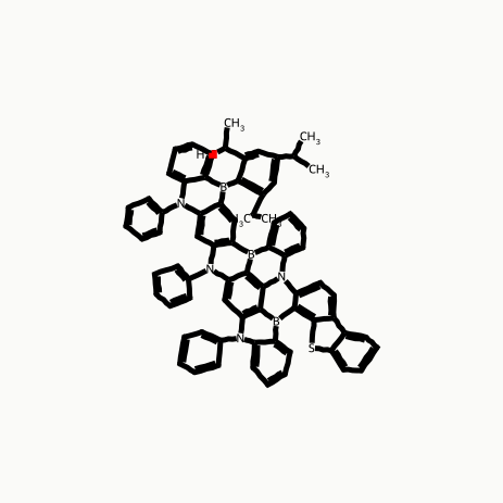 CC(C)c1cc(C(C)C)c(B2c3ccccc3N(c3ccccc3)c3cc4c(cc32)B2c3ccccc3N3c5ccc6c(sc7ccccc76)c5B5c6ccccc6N(c6ccccc6)c6cc(c2c3c65)N4c2ccccc2)c(C(C)C)c1